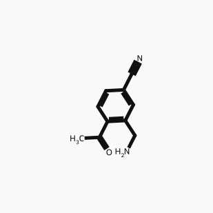 CC(=O)c1ccc(C#N)cc1CN